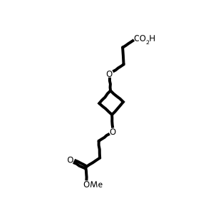 COC(=O)CCOC1CC(OCCC(=O)O)C1